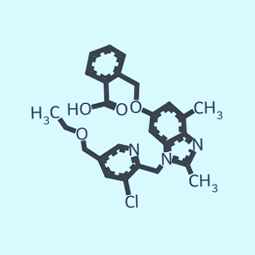 CCOCc1cnc(Cn2c(C)nc3c(C)cc(OCc4ccccc4C(=O)O)cc32)c(Cl)c1